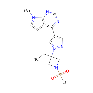 CCS(=O)(=O)N1CC(CC#N)(n2cc(-c3ncnc4c3ccn4C(C)(C)C)cn2)C1